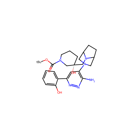 CC(C)(C)OC(=O)N1CCC[C@@](O)(CN2C3CCC2CN(c2cc(-c4ccccc4O)nnc2N)C3)C1